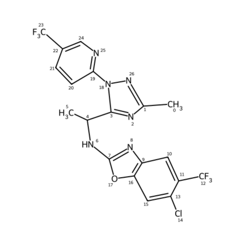 Cc1nc(C(C)Nc2nc3cc(C(F)(F)F)c(Cl)cc3o2)n(-c2ccc(C(F)(F)F)cn2)n1